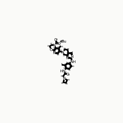 Cc1cc(Nc2ncc3c(n2)CN(c2cnc4c(c2C)N(C(=O)OC(C)(C)C)CCO4)CC3)ccc1NC(=O)CN1CCC1